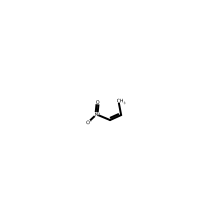 C/C=C\[N+](=O)[O-]